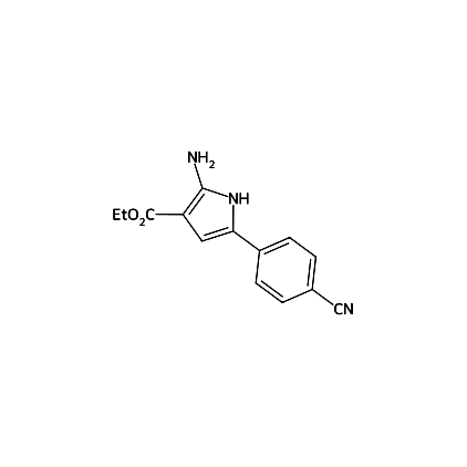 CCOC(=O)c1cc(-c2ccc(C#N)cc2)[nH]c1N